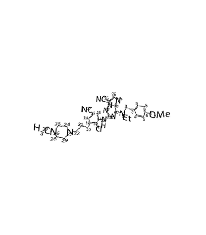 CCN(Cc1ccc(OC)cc1)c1nc(Nc2cc(C#N)cc(CCCN3CCN(C)CC3)c2Cl)nn2c(C#N)cnc12